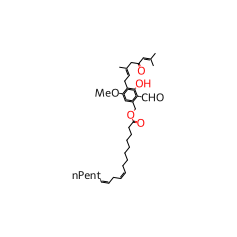 CCCCC/C=C\C/C=C\CCCCCCCC(=O)OCc1cc(OC)c(C/C=C(\C)CC(=O)C=C(C)C)c(O)c1C=O